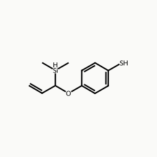 C=CC(Oc1ccc(S)cc1)[SiH](C)C